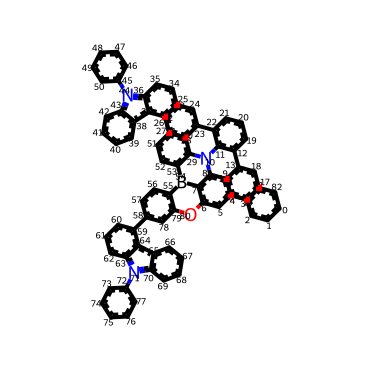 c1ccc(-c2cc3c4c(c2)N(c2c(-c5ccccc5)cccc2-c2ccccc2)c2cc(-c5cccc6c5c5ccccc5n6-c5ccccc5)ccc2B4c2ccc(-c4cccc5c4c4ccccc4n5-c4ccccc4)cc2O3)cc1